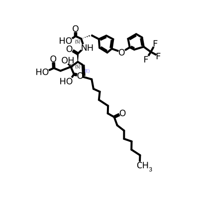 CCCCCCCC(=O)CCCCCC/C=C/[C@H](C(=O)N[C@@H](Cc1ccc(Oc2cccc(C(F)(F)F)c2)cc1)C(=O)O)[C@@](O)(CC(=O)O)C(=O)O